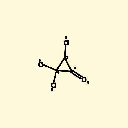 O=C1C(Cl)C1(Cl)Cl